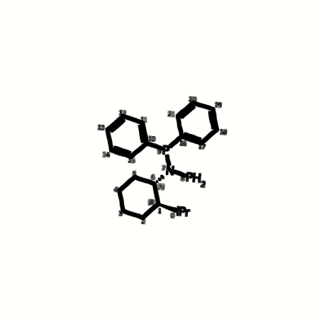 CC(C)[C@H]1CCCC[C@@H]1N(P)P(c1ccccc1)c1ccccc1